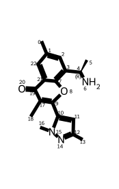 Cc1cc([C@@H](C)N)c2oc(-c3cc(C)nn3C)c(C)c(=O)c2c1